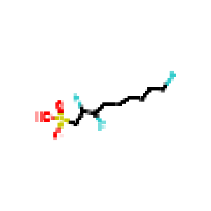 O=S(=O)(O)CC(F)C(F)CCCCCCF